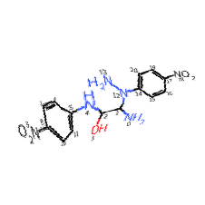 NC(C(O)Nc1ccc([N+](=O)[O-])cc1)N(N)c1ccc([N+](=O)[O-])cc1